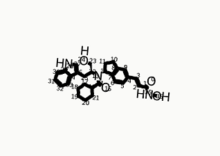 O=C(C=Cc1ccc2c(c1)CC[C@H]2N(C(=O)C1CCCCC1)[C@H](CO)Cc1c[nH]c2ccccc12)NO